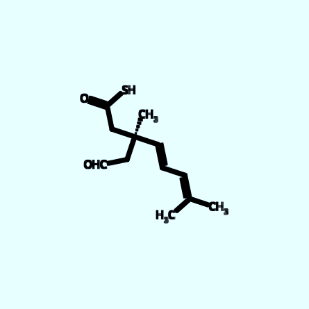 CC(C)=C/C=C/[C@@](C)(CC=O)CC(=O)S